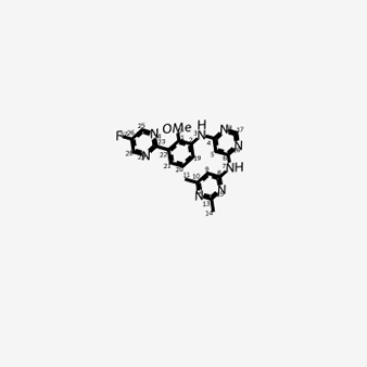 COc1c(Nc2cc(Nc3cc(C)nc(C)n3)ncn2)cccc1-c1ncc(F)cn1